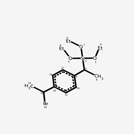 CCO[Si](OCC)(OCC)C(C)c1ccc(C(C)Br)cc1